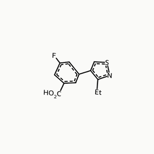 CCc1nscc1-c1cc(F)cc(C(=O)O)c1